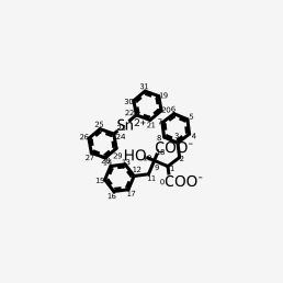 O=C([O-])C(Cc1ccccc1)C(O)(Cc1ccccc1)C(=O)[O-].c1cc[c]([Sn+2][c]2ccccc2)cc1